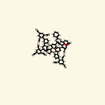 N#Cc1cc(C#N)c(-c2ccc3c(c2)c2cc(-c4c(C#N)cc(C#N)cc4C#N)ccc2n3-c2cnccc2-c2ccc(-c3nc(-c4ccccc4)nc(-c4ccccc4)n3)cc2-n2c3ccc(-c4c(C#N)cc(C#N)cc4C#N)cc3c3cc(-c4c(C#N)cc(C#N)cc4C#N)ccc32)c(C#N)c1